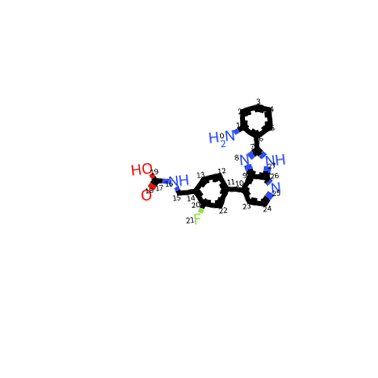 Nc1ccccc1-c1nc2c(-c3ccc(CNC(=O)O)c(F)c3)ccnc2[nH]1